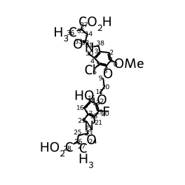 COc1cc2c(c(Cl)c1OCCCOc1c(O)cc3c(c1F)CN(C(=O)CC(C)C(=O)O)C3)CN(C(=O)CC(C)C(=O)O)C2